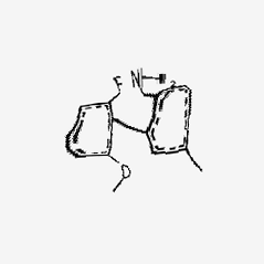 COc1cccc(F)c1-c1cc(C)ccc1N